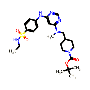 CCNS(=O)(=O)c1ccc(Nc2cc(N(C)CC3CCN(C(=O)OC(C)(C)C)CC3)ncn2)cc1